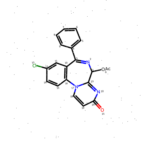 CC(=O)OC1N=C(c2ccccc2)c2cc(Cl)ccc2-n2ccc(=O)nc21